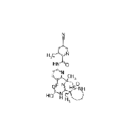 Cc1cc(C#N)cnc1C(=O)Nc1ccc(F)c(C2(C)C[SH]3(=O)NCCCCC3(C)C(NC(=O)O)=N2)n1